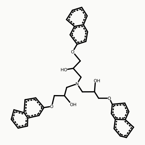 OC(COc1ccc2ccccc2c1)CN(CC(O)COc1ccc2ccccc2c1)CC(O)COc1ccc2ccccc2c1